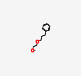 [O]CCOCCCc1ccccc1